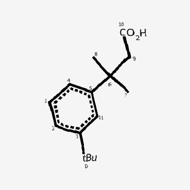 CC(C)(C)c1cccc(C(C)(C)CC(=O)O)c1